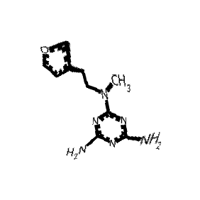 CN(CCc1ccoc1)c1nc(N)nc(N)n1